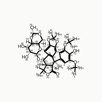 [2H]C([2H])([2H])Oc1cc([C@]2([2H])c3cc4c(cc3[C@@H](O[C@@H]3O[C@@H]5CO[C@@H](C)O[C@H]5[C@H](O)[C@H]3O)[C@@H]3[C@@H]2C(=O)OC3([2H])[2H])OC([2H])([2H])O4)cc(OC([2H])([2H])[2H])c1O